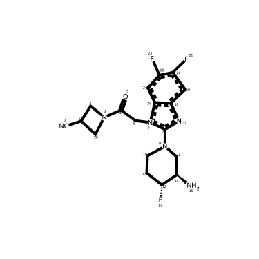 N#CC1CN(C(=O)Cn2c(N3CC[C@@H](F)[C@H](N)C3)nc3cc(F)c(F)cc32)C1